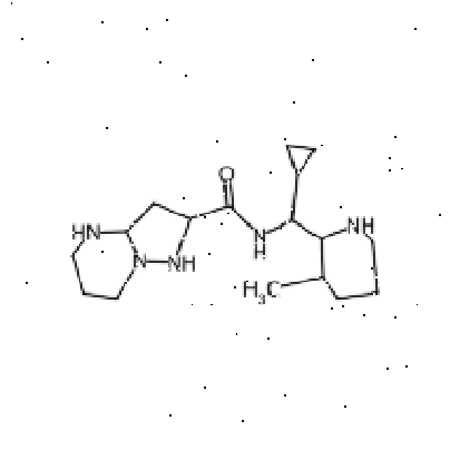 CC1CCCNC1C(NC(=O)C1CC2NCCCN2N1)C1CC1